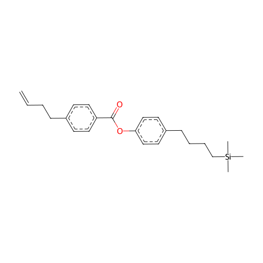 C=CCCc1ccc(C(=O)Oc2ccc(CCCC[Si](C)(C)C)cc2)cc1